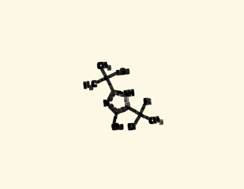 CCCCC(C)(C)c1nc(C(C)(C)C)c(C(C)(CC)CC)[nH]1